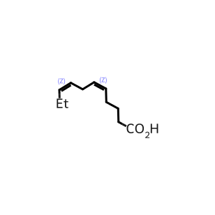 CC/C=C\C/C=C\CCCC(=O)O